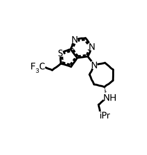 CC(C)CN[C@H]1CCCN(c2ncnc3sc(CC(F)(F)F)cc23)CC1